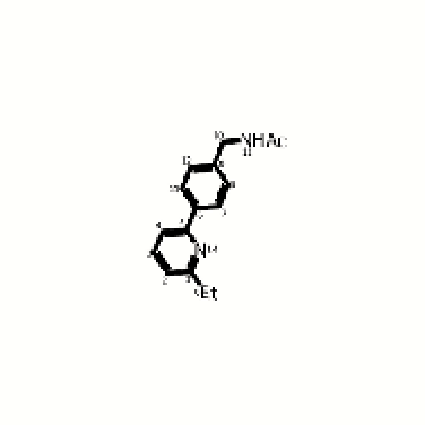 CCc1cccc(-c2ccc(CNC(C)=O)cc2)n1